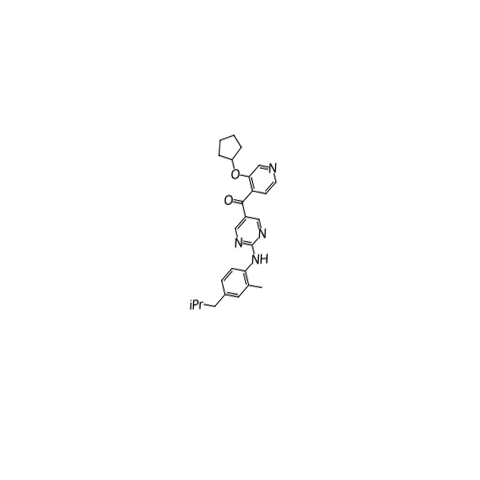 Cc1cc(CC(C)C)ccc1Nc1ncc(C(=O)c2ccncc2OC2CCCC2)cn1